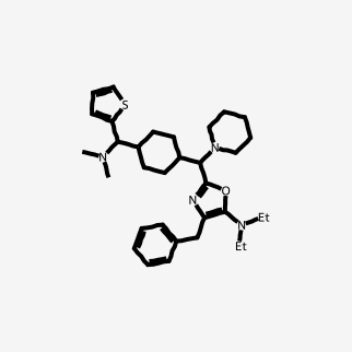 CCN(CC)c1oc(C(C2CCC(C(c3cccs3)N(C)C)CC2)N2CCCCC2)nc1Cc1ccccc1